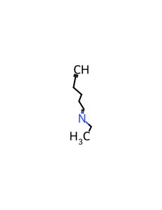 C#CCCCC=NCC